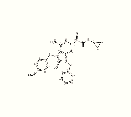 COc1ccc(Cn2c(=O)n(Cc3ccccc3)c3nc(C(=O)NCC4CC4)nc(N)c32)cc1